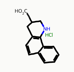 Cl.O=C(O)C1CNc2c(ccc3ccccc23)C1